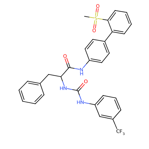 CS(=O)(=O)c1ccccc1-c1ccc(NC(=O)C(Cc2ccccc2)NC(=O)Nc2cccc(C(F)(F)F)c2)cc1